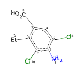 CCc1c(C(=O)O)cc(Cl)c(N)c1Cl